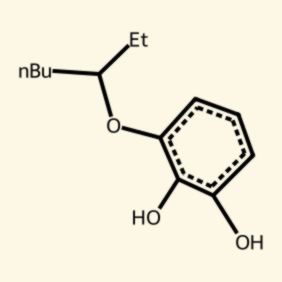 CCCCC(CC)Oc1cccc(O)c1O